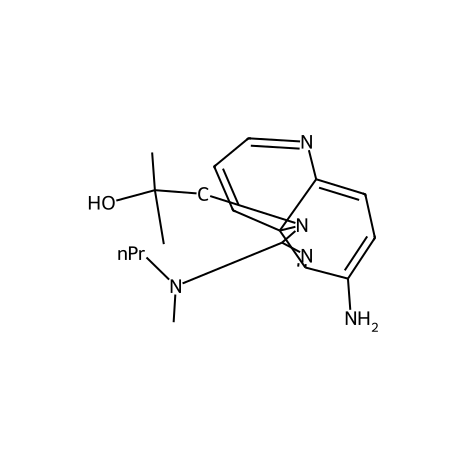 CCCN(C)C1N=C2C(N)=CC=C3N=CC=CC32N1CC(C)(C)O